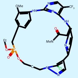 CCOP1(=O)Cc2ccc(c(OC)c2)Nc2ncc(C(F)(F)F)c(n2)Nc2ccc(nc2C(=O)NC)-c2cnn(c2Cl)CCCO1